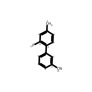 Cc1ccc(-c2cccc(C#N)c2)c(F)c1